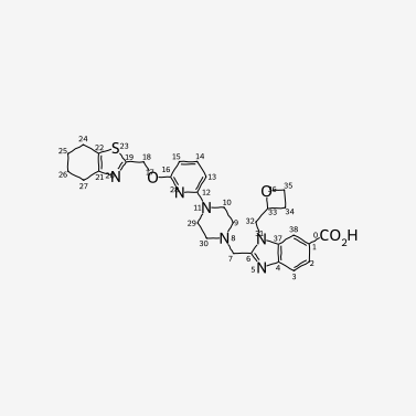 O=C(O)c1ccc2nc(CN3CCN(c4cccc(OCc5nc6c(s5)CCCC6)n4)CC3)n(CC3CCO3)c2c1